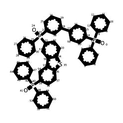 O=P(c1ccccc1)(c1ccccc1)c1ccc(-c2cccc(P(=O)(c3ccccc3)c3ccc4sc5ccc(P(=O)(c6ccccc6)c6ccccc6)cc5c4c3)c2)cc1